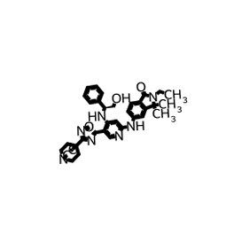 CCN1C(=O)c2ccc(Nc3cc(N[C@H](CO)c4ccccc4)c(-c4nc(C56CCN(CC5)CC6)no4)cn3)cc2C1(C)C